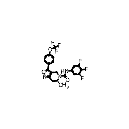 C[C@H]1Cc2noc(-c3ccc(OC(F)(F)F)cc3)c2CN1C(=O)Nc1cc(F)c(F)c(F)c1